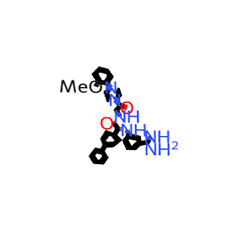 COc1ccccc1N1CCN(C(=O)CNC(=O)C(Nc2cccc(C(=N)N)c2)c2ccc(-c3ccccc3)cc2)CC1